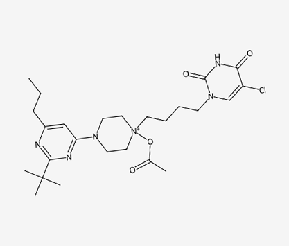 CCCc1cc(N2CC[N+](CCCCn3cc(Cl)c(=O)[nH]c3=O)(OC(C)=O)CC2)nc(C(C)(C)C)n1